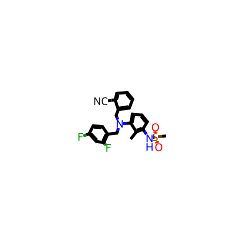 Cc1c(NS(C)(=O)=O)cccc1N(Cc1ccc(F)cc1F)Cc1ccccc1C#N